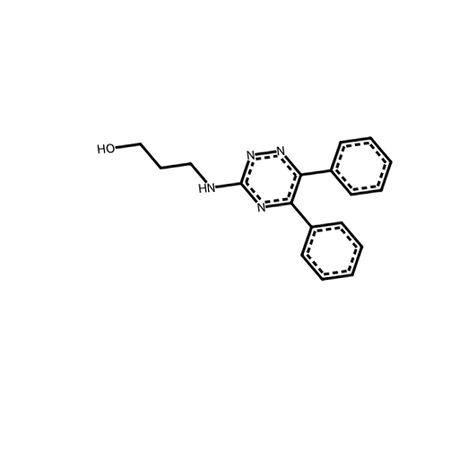 OCCCNc1nnc(-c2ccccc2)c(-c2ccccc2)n1